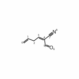 C=CCC=C([C]=O)C#N